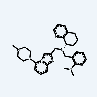 CN1CCN(c2cccc3nc(CN(Cc4ccccc4N(C)C)[C@H]4CCCc5cccnc54)cn23)CC1